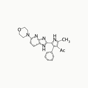 CC(=O)c1c(C)[nH]c(-c2nc3nc(N4CCOCC4)ccc3[nH]2)c1-c1ccccc1